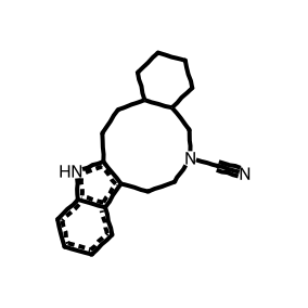 N#CN1CCc2c([nH]c3ccccc23)CCC2CCCCC2C1